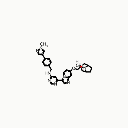 CN1CC2CCC(C1)N2CCOc1ccn2c(-c3cc(NCc4ccc(-c5cnn(C)c5)cc4)ncn3)cnc2c1